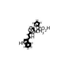 C[C@H](NC(CCc1c[nH]c2ccccc12)C(=O)O)C(=O)N1CCC[C@H]1C(=O)O